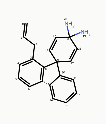 C=CCc1ccccc1C1(c2ccccc2)C=CC(N)(N)C=C1